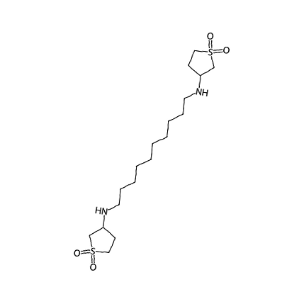 O=S1(=O)CCC(NCCCCCCCCCCNC2CCS(=O)(=O)C2)C1